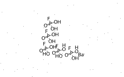 O=P(O)(O)F.O=P(O)(O)F.O=P(O)(O)F.O=P(O)(O)F.O=P(O)(O)F.[Ba]